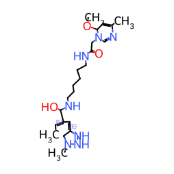 C/C=C(\C=C1/CN(C)NN1)C(O)NCCCCCCNC(=O)CN1C=NC(C)=CC1OC